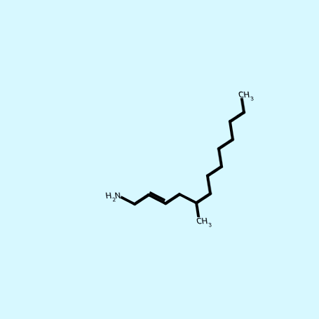 CCCCCCCCC(C)CC=CCN